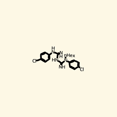 CCCCCCN(C(=N)NC(=N)Nc1ccc(Cl)cc1)c1ccc(Cl)cc1